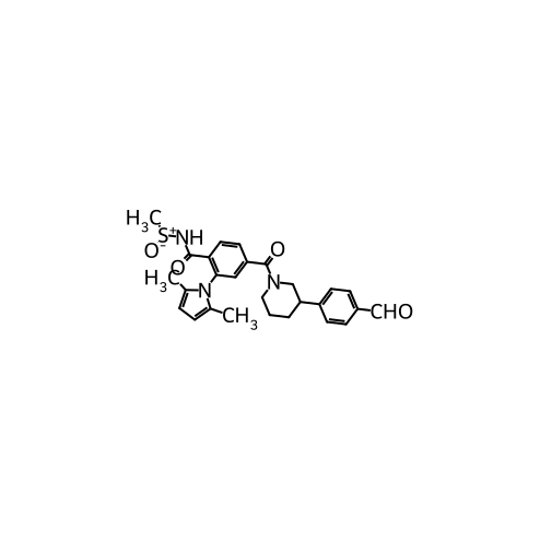 Cc1ccc(C)n1-c1cc(C(=O)N2CCCC(c3ccc(C=O)cc3)C2)ccc1C(=O)N[S+](C)[O-]